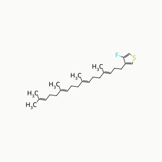 CC(C)=CCC/C(C)=C/CC/C(C)=C/CC/C(C)=C/CCc1cscc1F